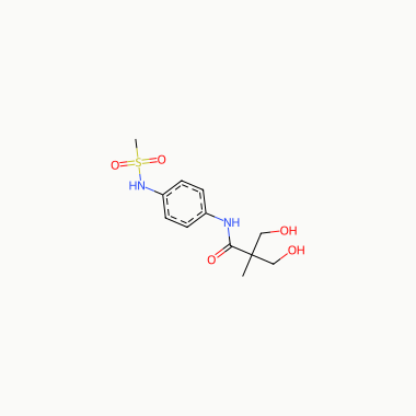 CC(CO)(CO)C(=O)Nc1ccc(NS(C)(=O)=O)cc1